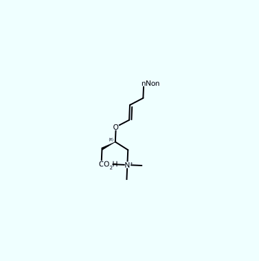 CCCCCCCCCCC=CO[C@H](CC(=O)O)C[N+](C)(C)C